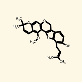 COc1c2c(cc3c1-c1oc4c(CC=C(C)C)c(O)ccc4c1CO3)OC(C)(C)C=C2